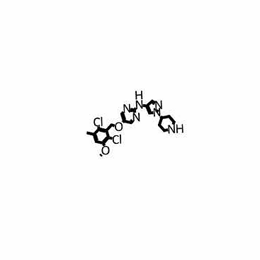 COc1cc(C)c(Cl)c(COc2cnc(Nc3cnn(C4CCNCC4)c3)nc2)c1Cl